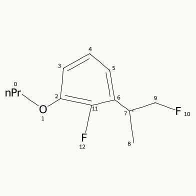 CCCOc1cccc([C](C)CF)c1F